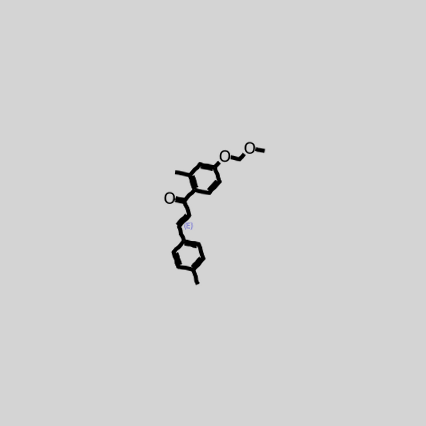 COCOc1ccc(C(=O)/C=C/c2ccc(C)cc2)c(C)c1